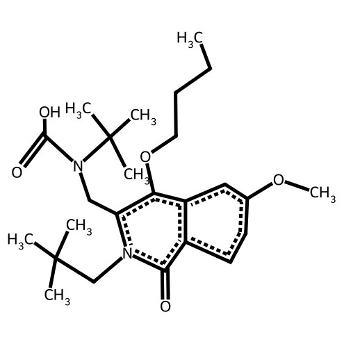 CCCCOc1c(CN(C(=O)O)C(C)(C)C)n(CC(C)(C)C)c(=O)c2ccc(OC)cc12